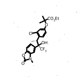 CCOC(=O)C(C)(C)Oc1ccc([C@@H](C)[C@@](O)(c2ccc3oc(=O)n(C)c3c2)C(F)(F)F)c(Cl)c1